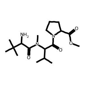 COC(=O)C1CCCN1C(=O)C(C(C)C)N(C)C(=O)C(N)C(C)(C)C